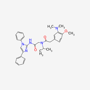 COc1ccc(CC(=O)N(CC(=O)Nc2nc(-c3ccccc3)cn2-c2ccccc2)C(C)C)cc1N(C)C